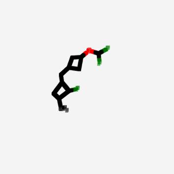 CC1CC(CC2CC(OC(F)F)C2)C1F